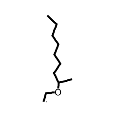 [CH2]COC(C)CCCCCCC